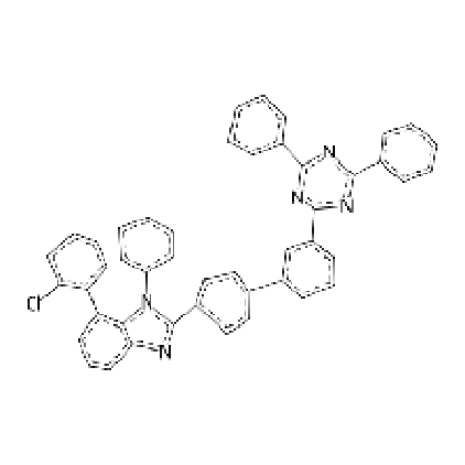 Clc1ccccc1-c1cccc2nc(-c3ccc(-c4cccc(-c5nc(-c6ccccc6)nc(-c6ccccc6)n5)c4)cc3)n(-c3ccccc3)c12